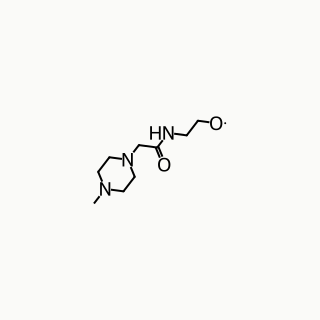 CN1CCN(CC(=O)NCC[O])CC1